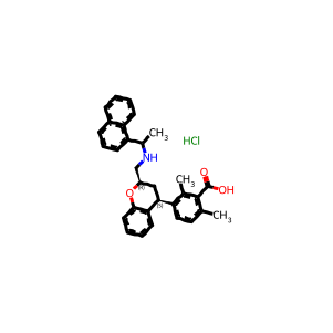 Cc1ccc([C@@H]2C[C@H](CNC(C)c3cccc4ccccc34)Oc3ccccc32)c(C)c1C(=O)O.Cl